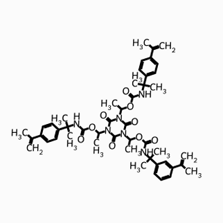 C=C(C)c1ccc(C(C)(C)NC(=O)OC(C)n2c(=O)n(C(C)OC(=O)NC(C)(C)c3ccc(C(=C)C)cc3)c(=O)n(C(C)OC(=O)NC(C)(C)c3cccc(C(=C)C)c3)c2=O)cc1